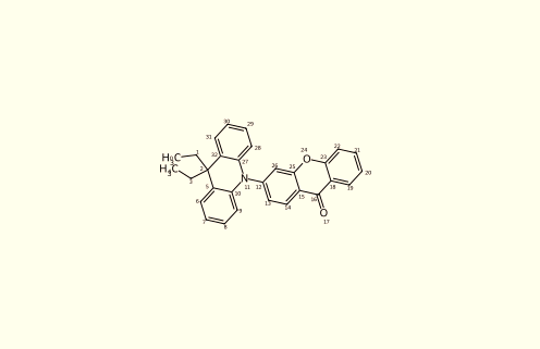 CCC1(CC)c2ccccc2N(c2ccc3c(=O)c4ccccc4oc3c2)c2ccccc21